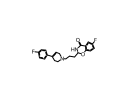 O=C1NC(CCCN2CC=C(c3ccc(F)cc3)CC2)Oc2ccc(F)cc21